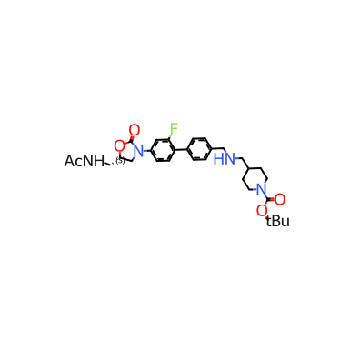 CC(=O)NC[C@H]1CN(c2ccc(-c3ccc(CNCC4CCN(C(=O)OC(C)(C)C)CC4)cc3)c(F)c2)C(=O)O1